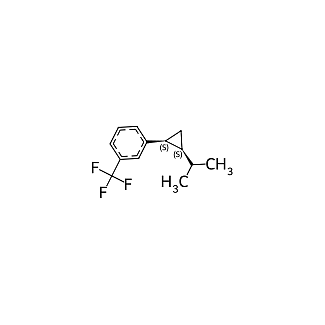 CC(C)[C@@H]1C[C@@H]1c1cccc(C(F)(F)F)c1